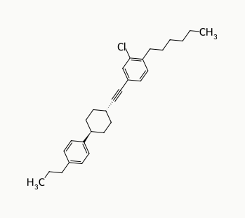 CCCCCCc1ccc(C#C[C@H]2CC[C@H](c3ccc(CCC)cc3)CC2)cc1Cl